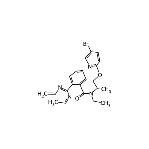 C=C/N=C(\N=C/C)c1ccccc1C(=O)N(CC)[C@@H](C)COc1ccc(Br)cn1